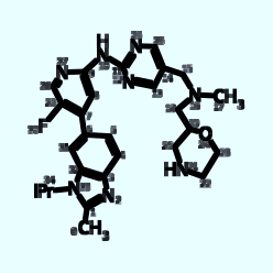 Cc1nc2ccc(-c3cc(Nc4ncc(CN(C)CC5CNCCO5)cn4)ncc3F)cc2n1C(C)C